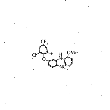 COc1ccccc1Nc1cc(Oc2c(F)cc(C(F)(F)F)cc2Cl)ccc1[N+](=O)[O-]